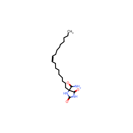 CCCCCCCC/C=C\CCCCCCCCC1(C(N)=O)NC(=O)NC1=O